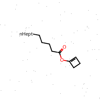 CCCCCCCCCCCC(=O)OC1=CCC1